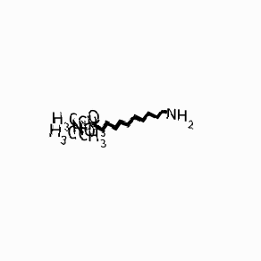 C[N+](C)(C)C.NCCCCCCCCCCC(=O)O